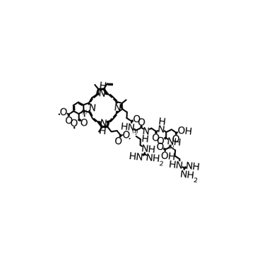 C=Cc1c(C)c2cc3nc(cc4[nH]c(cc5nc(cc1[nH]2)C(C)=C5CCC(=O)N[C@@H](CCCNC(=N)N)C(=O)NCC(=O)NC(CC(=O)O)C(=O)N[C@@H](CCCNC(=N)N)C(=O)O)c(CCC(=O)OC)c4C)[C@@]1(C)C3=CC=C(C(=O)OC)C1C(=O)OC